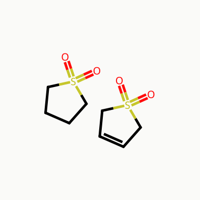 O=S1(=O)CC=CC1.O=S1(=O)CCCC1